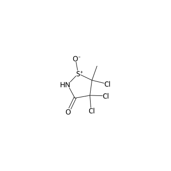 CC1(Cl)[S+]([O-])NC(=O)C1(Cl)Cl